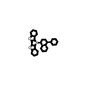 c1ccc(-c2ccc(-n3c4c5ccccc5oc4c4oc5ccccc5c43)c3ccccc23)cc1